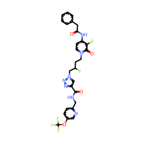 O=C(Cc1ccccc1)Nc1ccn(CCC(F)Cn2cc(C(=O)NCc3ccc(OC(F)(F)F)cn3)nn2)c(=O)c1F